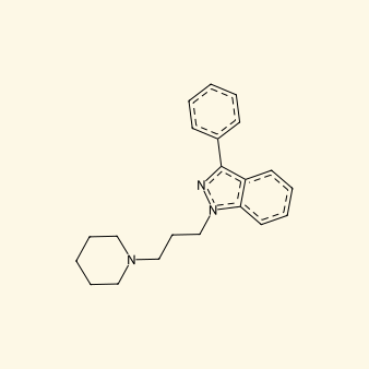 c1ccc(-c2nn(CCCN3CCCCC3)c3ccccc23)cc1